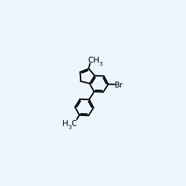 CC1=CCc2c1cc(Br)cc2-c1ccc(C)cc1